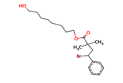 CC(C)(CC(Br)c1ccccc1)C(=O)OCCCCCCCCO